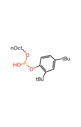 CCCCCCCCOP(O)Oc1ccc(C(C)(C)C)cc1C(C)(C)C